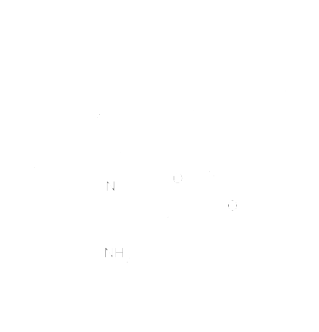 NC(COC(=O)c1ccccc1)N1CCCCC1